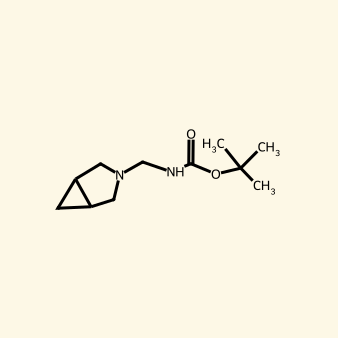 CC(C)(C)OC(=O)NCN1CC2CC2C1